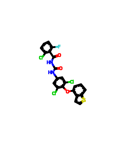 O=C(NC(=O)c1c(F)cccc1Cl)Nc1cc(Cl)c(Oc2cccc3sccc23)c(Cl)c1